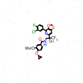 COc1cc(C(=O)NCC(S)(c2cc3c(c(-c4ccc(F)c(Cl)c4)n2)OCS3)C(F)(F)F)ccc1OC1CC1